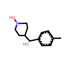 Cc1ccc(CC2CCN(O)CC2)cc1.Cl